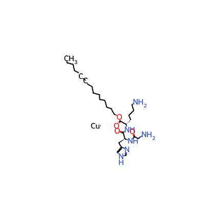 CCCCCCCCCCCCCCCCOC(=O)[C@H](CCCCN)NC(=O)[C@H](Cc1c[nH]cn1)NC(=O)CN.[Cu]